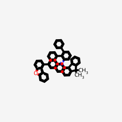 CC1(C)c2ccccc2-c2c(N(c3ccc(-c4cccc5oc6ccccc6c45)cc3)c3cccc(-c4ccccc4)c3-c3ccccc3-c3ccccc3)cccc21